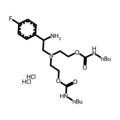 CCCCNC(=O)OCCN(CCOC(=O)NCCCC)CC(N)c1ccc(F)cc1.Cl.Cl